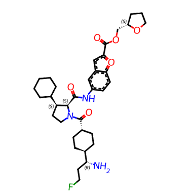 N[C@H](CCF)[C@H]1CC[C@H](C(=O)N2CC[C@@H](C3CCCCC3)[C@H]2C(=O)Nc2ccc3oc(C(=O)OC[C@@H]4CCCO4)cc3c2)CC1